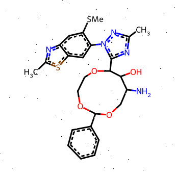 CSc1cc2nc(C)sc2cc1-n1nc(C)nc1C1OCCOC(c2ccccc2)OCC(N)C1O